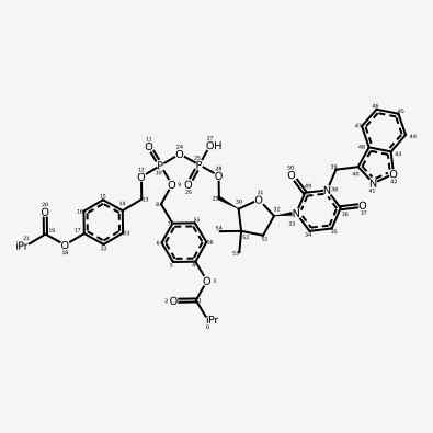 CC(C)C(=O)Oc1ccc(COP(=O)(OCc2ccc(OC(=O)C(C)C)cc2)OP(=O)(O)OC[C@H]2O[C@@H](n3ccc(=O)n(Cc4noc5ccccc45)c3=O)CC2(C)C)cc1